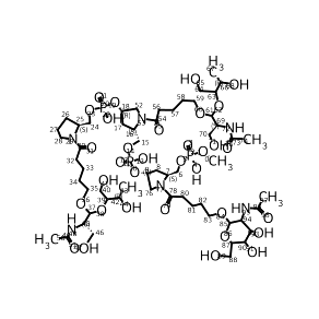 COP(=O)(O)OC[C@@H]1C[C@@H](OP(=O)(O)OC[C@@H]2C[C@@H](OP(=O)(O)OC[C@@H]3CCCN3C(=O)CCCCOC(OC(CO)[C@@H](C)O)[C@H](CO)NC(C)=O)CN2C(=O)CCCCOC(OC(CO)[C@@H](C)O)[C@H](CO)NC(C)=O)CN1C(=O)CCCCOC1OC(CO)C(O)C(O)C1NC(C)=O